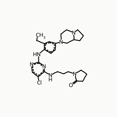 CCc1cc(N2CCN3CCCC3C2)ccc1Nc1ncc(Cl)c(NCCCN2CCCC2=O)n1